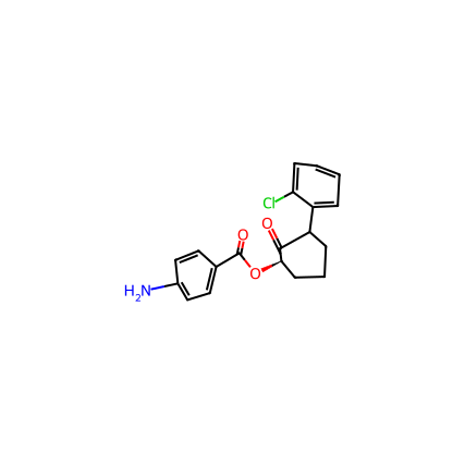 Nc1ccc(C(=O)O[C@@H]2CCCC(c3ccccc3Cl)C2=O)cc1